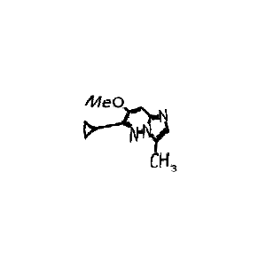 COc1cc2ncc(C)n2nc1C1CC1